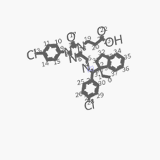 CC[C@@]1(/C(=N\Cc2nn(-c3ccc(Cl)cc3)c(=O)n2CCC(=O)O)c2ccc(Cl)cc2)CCc2ccccc21